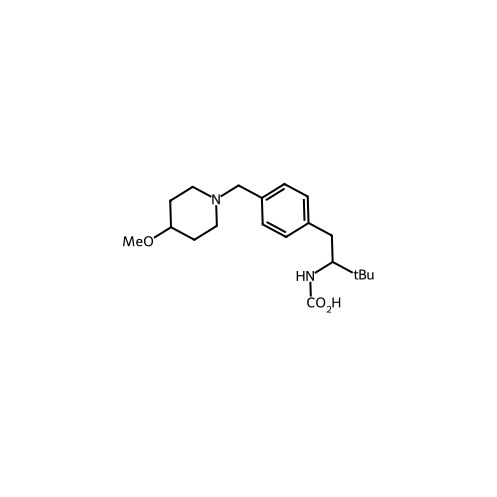 COC1CCN(Cc2ccc(CC(NC(=O)O)C(C)(C)C)cc2)CC1